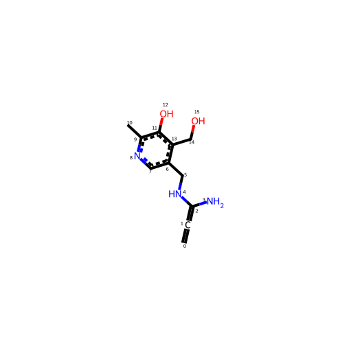 C=C=C(N)NCc1cnc(C)c(O)c1CO